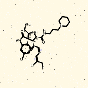 C=C(/C=C\C=C(\Cl)CF)[C@H]1[C@H](C(=O)NCCCN2CCCCC2)N[C@H](CC(C)(C)C)[C@]12C(=O)Nc1cc(Cl)ccc12